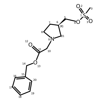 CS(=O)(=O)OC[C@@H]1CCN(CC(=O)OCc2ccccc2)C1